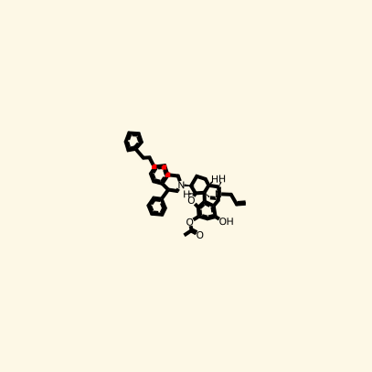 C=CCN1CC[C@]23c4c5c(O)cc(OC(C)=O)c4O[C@H]2[C@@H](N(CCCCCCc2ccccc2)CC(c2ccccc2)c2ccccc2)CC[C@H]3[C@H]1C5